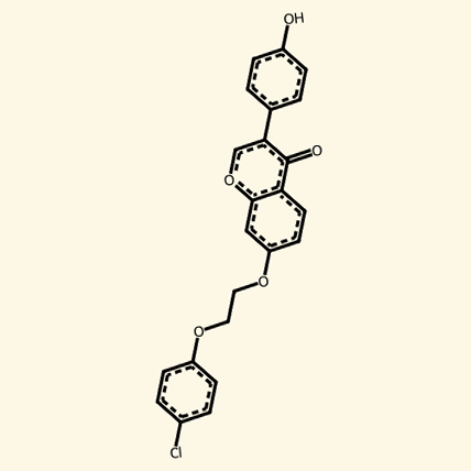 O=c1c(-c2ccc(O)cc2)coc2cc(OCCOc3ccc(Cl)cc3)ccc12